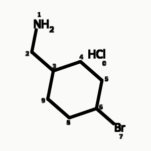 Cl.NCC1CCC(Br)CC1